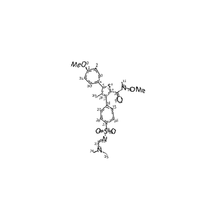 COc1ccc(-c2sc(C(=O)N(C)OC)c(-c3ccc(S(=O)(=O)/N=C/N(C)C)cc3)c2C)cc1